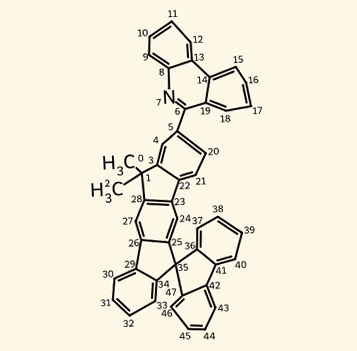 CC1(C)c2cc(-c3nc4ccccc4c4ccccc34)ccc2-c2cc3c(cc21)-c1ccccc1C31c2ccccc2-c2ccccc21